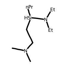 CCC[SiH](CCN(C)C)N(CC)CC